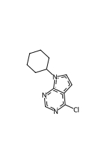 Clc1ncnc2c1ccn2C1CCCCC1